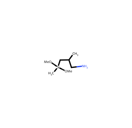 CO[Si](C)(CC(C)CN)OC